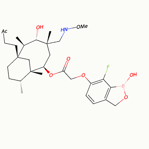 CONC[C@]1(C)C[C@@H](OC(=O)COc2ccc3c(c2F)B(O)OC3)[C@@]2(C)C[C@](CCC(C)=O)(CC[C@H]2C)[C@@H](C)[C@@H]1O